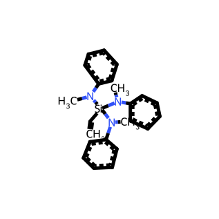 C=C[Si](N(C)c1ccccc1)(N(C)c1ccccc1)N(C)c1ccccc1